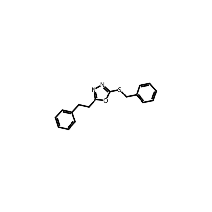 c1ccc(CCc2nnc(SCc3ccccc3)o2)cc1